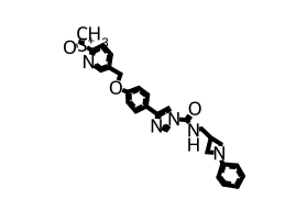 C[S+]([O-])c1ccc(COc2ccc(-c3cn(C(=O)NCC4CN(c5ccccc5)C4)cn3)cc2)cn1